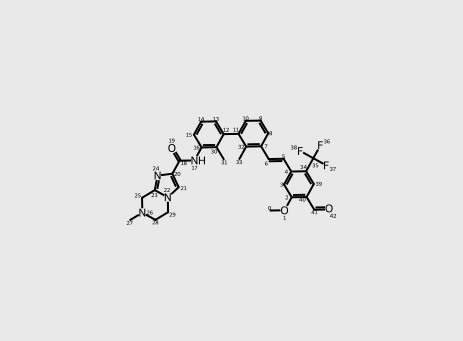 COc1cc(/C=C/c2cccc(-c3cccc(NC(=O)c4cn5c(n4)CN(C)CC5)c3C)c2C)c(C(F)(F)F)cc1C=O